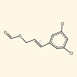 O=[C]OC/C=C/c1cc(Cl)cc(Cl)c1